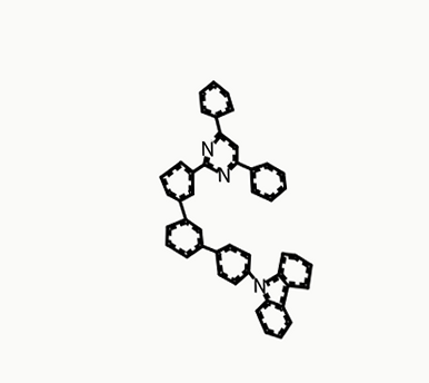 c1ccc(-c2cc(-c3ccccc3)nc(-c3cccc(-c4cccc(-c5ccc(-n6c7ccccc7c7ccccc76)cc5)c4)c3)n2)cc1